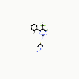 Cc1ccccc1-c1nc(NSc2cnn(C)c2)nc(Cl)c1C(F)(F)C(F)(F)F